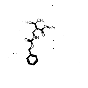 CCCOC(=O)[C@@H](CNC(=O)OCc1ccccc1)[C@@H](C)O